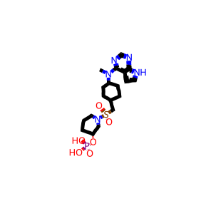 CN(c1ncnc2[nH]ccc12)C1CCC(CS(=O)(=O)N2CCC[C@@H](OP(=O)(O)O)C2)CC1